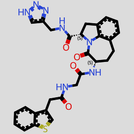 O=C(Cc1csc2ccccc12)NCC(=O)N[C@H]1CCc2cccc3c2N(C1=O)[C@H](C(=O)NCc1c[nH]nn1)C3